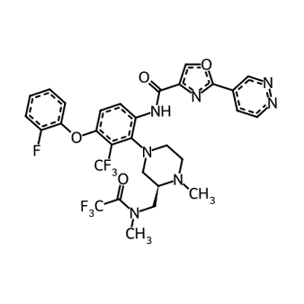 CN(C[C@H]1CN(c2c(NC(=O)c3coc(-c4ccnnc4)n3)ccc(Oc3ccccc3F)c2C(F)(F)F)CCN1C)C(=O)C(F)(F)F